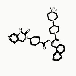 CN1CCN(C2CCN(C(=O)[C@@H](CC(=O)N3CCC(N4Cc5ccncc5NC4=O)CC3)Cc3cccc4ccccc34)CC2)CC1